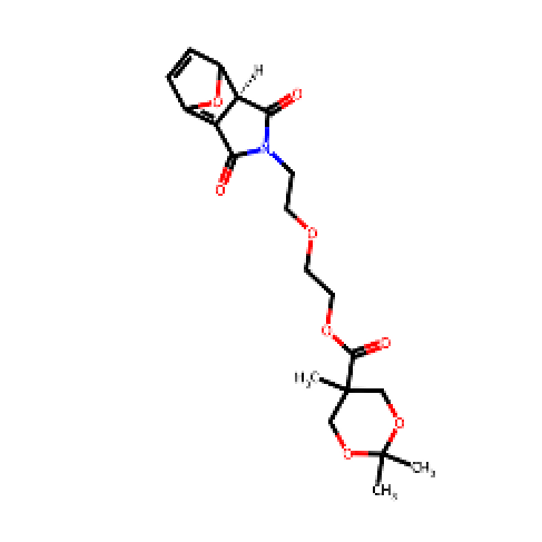 CC1(C)OCC(C)(C(=O)OCCOCCN2C(=O)C3=C4C=CC(O4)[C@H]3C2=O)CO1